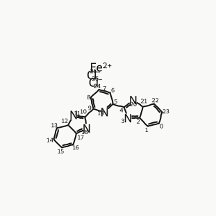 C1=CC2=NC(c3cccc(C4=NC5C=CC=CC5=N4)n3)=NC2C=C1.[Cl-].[Cl-].[Fe+2]